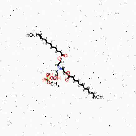 CCCCCCCCC=CCCCCCCCC(=O)OCCN(CCO)CCOC(=O)CCCCCCCC=CCCCCCCCC.COS(=O)(=O)O